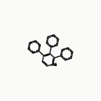 C1=CC(c2ccccc2)=C(c2ccccc2)C(c2ccccc2)=[As]1